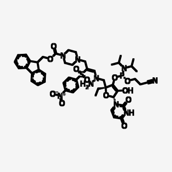 CC[C@]1(CN(N)/C=C(/CN2CCN(C(=O)OCC3c4ccccc4-c4ccccc43)CC2)S(=O)(=O)c2ccc([N+](=O)[O-])cc2)O[C@@H](n2ccc(=O)[nH]c2=O)C(O)=C1OP(OCCC#N)N(C(C)C)C(C)C